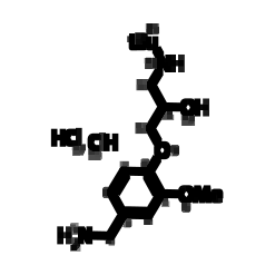 COc1cc(CN)ccc1OCC(O)CNC(C)(C)C.Cl.Cl